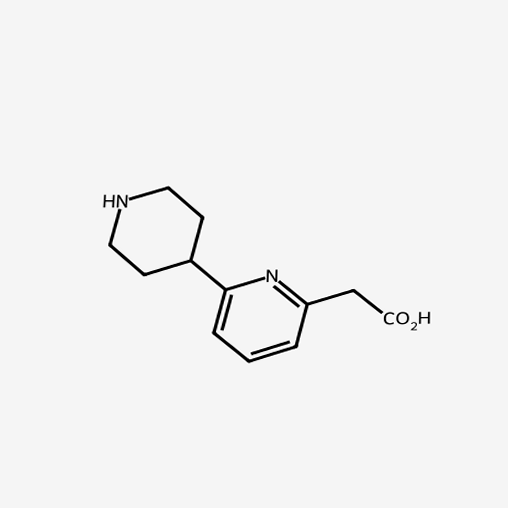 O=C(O)Cc1cccc(C2CCNCC2)n1